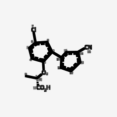 C[C@H](Oc1ccc(Cl)cc1-c1cccc(C#N)c1)C(=O)O